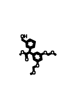 COCOc1cc(OCOC)cc(C(C(=O)OC)c2cccc(CO)c2)c1